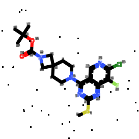 CSc1nc(N2CCC3(CC2)CN(C(=O)OC(C)(C)C)C3)c2cnc(Cl)c(F)c2n1